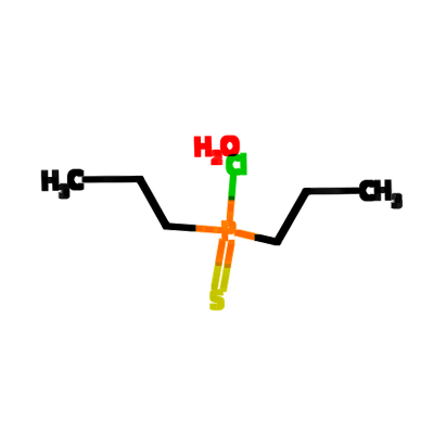 CCCP(=S)(Cl)CCC.O